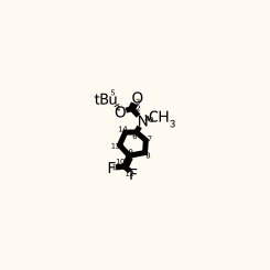 CN(C(=O)OC(C)(C)C)C1CCC(=C(F)F)CC1